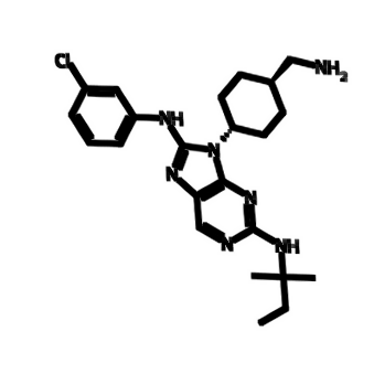 CCC(C)(C)Nc1ncc2nc(Nc3cccc(Cl)c3)n([C@H]3CC[C@H](CN)CC3)c2n1